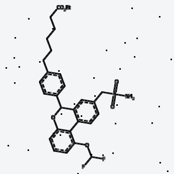 CCOC(=O)CCCCCc1ccc(C2Oc3cccc(OC(F)F)c3-c3ccc(CS(N)(=O)=O)cc32)cc1